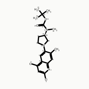 Cc1cc2nc(Cl)cc(Cl)c2cc1N1CC[C@@H](N(C)C(=O)OC(C)(C)C)C1